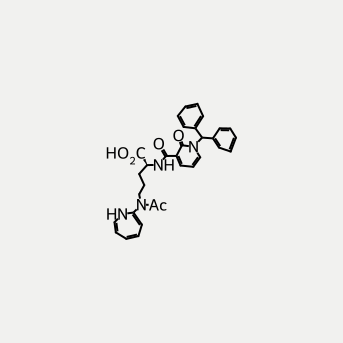 CC(=O)N(CCC[C@H](NC(=O)c1cccn(C(c2ccccc2)c2ccccc2)c1=O)C(=O)O)C1=CC=CC=CN1